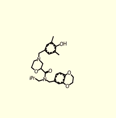 Cc1cc(CN2CCOC(C(=O)N(Cc3ccc4c(c3)OCCO4)CC(C)C)C2)cc(C)c1O